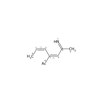 C/C=C\C(=C/C(C)=N)C(C)=O